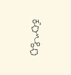 Cc1ccc(SCC(=O)Oc2ccccc2)cc1